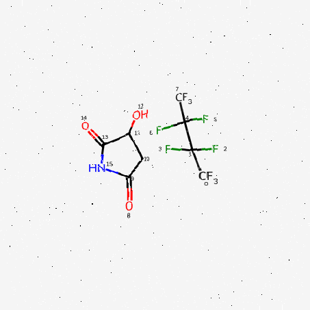 FC(F)(F)C(F)(F)C(F)(F)C(F)(F)F.O=C1CC(O)C(=O)N1